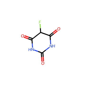 O=C1NC(=O)C(F)C(=O)N1